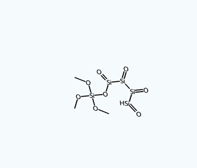 CO[Si](OC)(OC)O[Si](=O)[Si](=O)[Si](=O)[SiH]=O